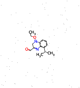 CCON1CC(C=O)=Nc2c(C(C)C)cccc21